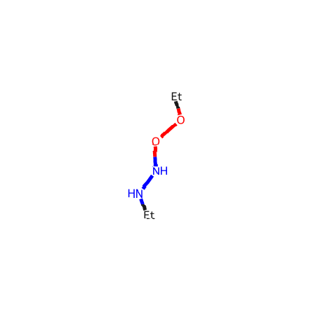 CCNNOOCC